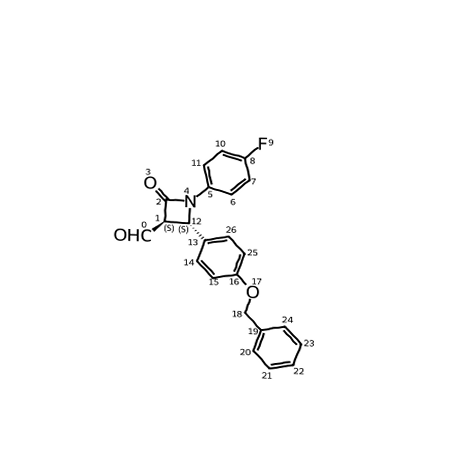 O=C[C@H]1C(=O)N(c2ccc(F)cc2)[C@@H]1c1ccc(OCc2ccccc2)cc1